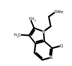 COCCn1c(C)c(C)c2ccnc(Cl)c21